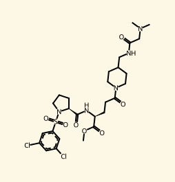 COC(=O)[C@H](CCC(=O)N1CCC(CNC(=O)CN(C)C)CC1)NC(=O)[C@@H]1CCCN1S(=O)(=O)c1cc(Cl)cc(Cl)c1